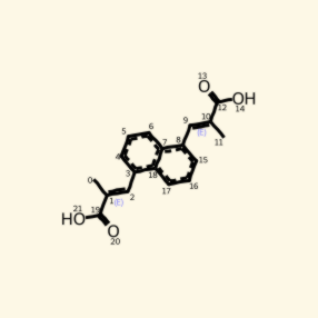 C/C(=C\c1cccc2c(/C=C(\C)C(=O)O)cccc12)C(=O)O